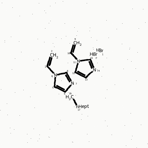 Br.Br.C=Cn1ccnc1.C=Cn1ccnc1.CCCCCCCC